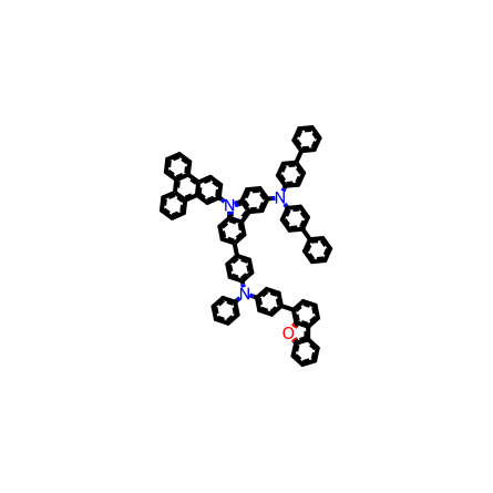 c1ccc(-c2ccc(N(c3ccc(-c4ccccc4)cc3)c3ccc4c(c3)c3cc(-c5ccc(N(c6ccccc6)c6ccc(-c7cccc8c7oc7ccccc78)cc6)cc5)ccc3n4-c3ccc4c5ccccc5c5ccccc5c4c3)cc2)cc1